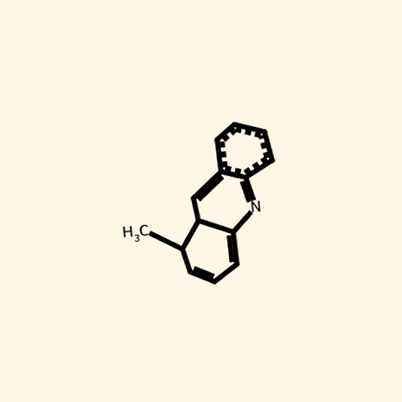 CC1C=CC=C2N=c3ccccc3=CC21